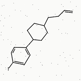 C=CCCC1CCC(c2ccc(I)cc2)CC1